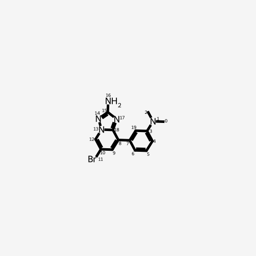 CN(C)c1cccc(-c2cc(Br)cn3nc(N)nc23)c1